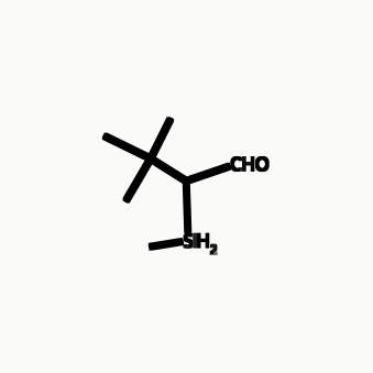 C[SiH2]C(C=O)C(C)(C)C